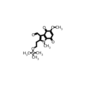 COC1=CC(=O)c2c(c(C=O)c(CCO[Si](C)(C)C)n2C)C1=O